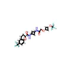 O=C(CO[C@H]1C[C@@H](OC(F)(F)F)C1)NC12CC(NC(=O)[C@@H]3CCc4cc(C(F)(F)F)ccc4O3)(C1)C2